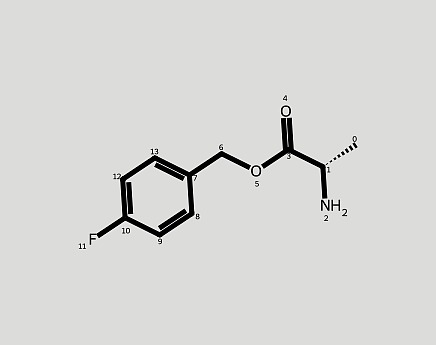 C[C@H](N)C(=O)OCc1ccc(F)cc1